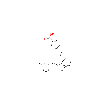 Cc1cc(C)cc(CC2CCc3cccc(CCc4ccc(C(=O)O)cc4)c32)c1